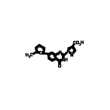 Cc1cccc(-c2ccc3c(=O)[nH]c(-n4cc(C(=O)O)cn4)nc3c2)c1